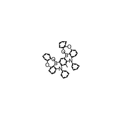 Cc1c2c(cc3c1N(c1ccccc1)c1cccc4c1B3Oc1ccccc1O4)B1Oc3ccccc3Oc3cccc(c31)N2c1ccccc1